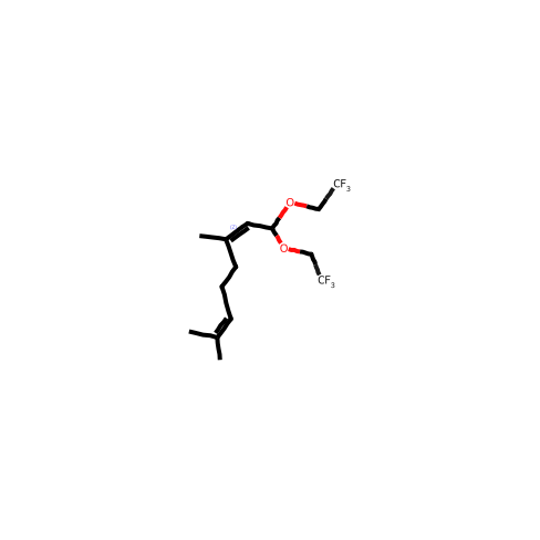 CC(C)=CCC/C(C)=C\C(OCC(F)(F)F)OCC(F)(F)F